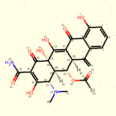 C=C1c2cccc(O)c2C(=O)C2=C(O)[C@]3(O)C(=O)C(C(N)=O)=C(O)[C@@H](N(C)C)[C@@H]3[C@@H](OC(=O)CC)[C@H]12